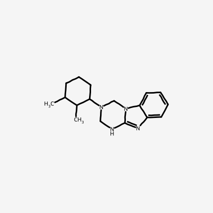 CC1CCCC(N2CNc3nc4ccccc4n3C2)C1C